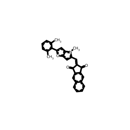 Cc1cccc(C)c1-c1cc2c(cc(C=C3C(=O)c4cc5ccccc5cc4C3=O)n2C)o1